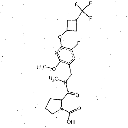 COc1nc(OC2CC(C(F)(F)F)C2)c(F)cc1CN(C)C(=O)C1CCCN1C(=O)O